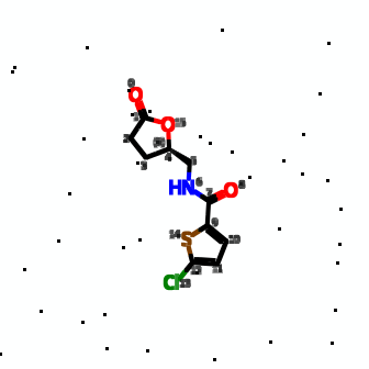 O=C1CC[C@H](CNC(=O)c2ccc(Cl)s2)O1